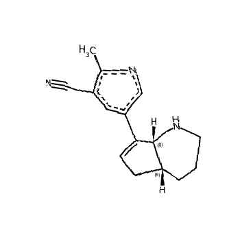 Cc1ncc(C2=CC[C@H]3CCCN[C@@H]23)cc1C#N